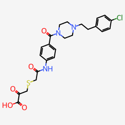 O=C(CSCC(=O)C(=O)O)Nc1ccc(C(=O)N2CCN(CCc3ccc(Cl)cc3)CC2)cc1